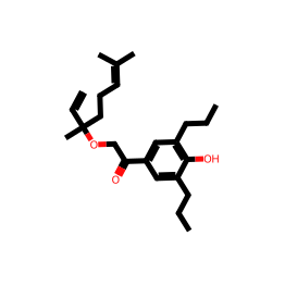 C=CC(C)(CCC=C(C)C)OCC(=O)c1cc(CCC)c(O)c(CCC)c1